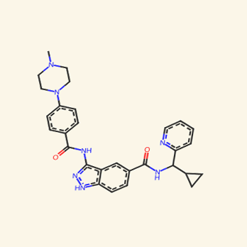 CN1CCN(c2ccc(C(=O)Nc3n[nH]c4ccc(C(=O)NC(c5ccccn5)C5CC5)cc34)cc2)CC1